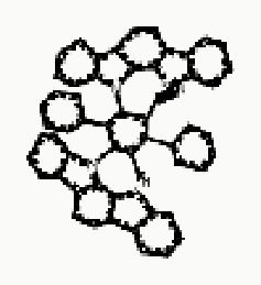 N#Cc1c(-c2ccccc2)c(C#N)c(-n2c3ccccc3c3ccc4c5ccccc5sc4c32)c(-c2ccccc2)c1-n1c2ccccc2c2ccc3c4ccccc4sc3c21